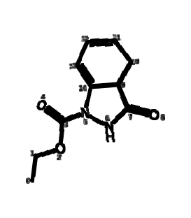 CCOC(=O)N1NC(=O)C2CC=CC=C21